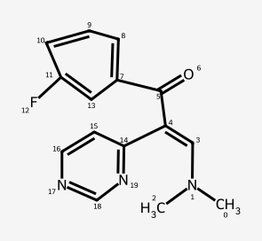 CN(C)C=C(C(=O)c1cccc(F)c1)c1ccncn1